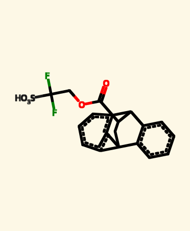 O=C(OCC(F)(F)S(=O)(=O)O)C1CC23c4ccccc4C1c1cccc2c13